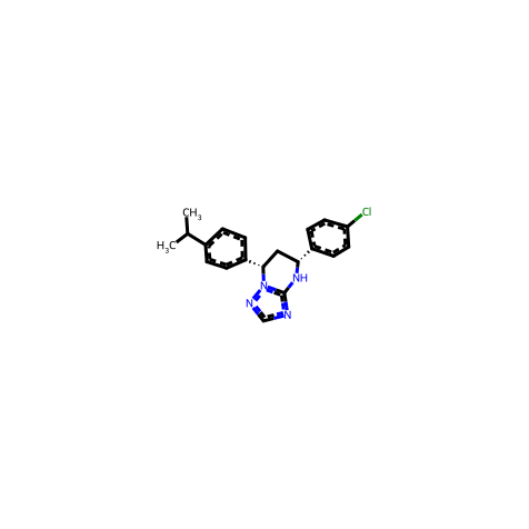 CC(C)c1ccc([C@@H]2C[C@H](c3ccc(Cl)cc3)Nc3ncnn32)cc1